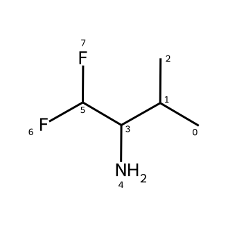 CC(C)C(N)C(F)F